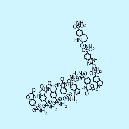 CC(=O)N1CCc2cc(S(N)(=O)=O)ccc21.CN1C(=O)COc2ccc(S(N)(=O)=O)cc21.Cn1c(=O)n(C)c2cc(S(N)(=O)=O)ccc21.Cn1ccc2cc(S(N)(=O)=O)ccc21.NS(=O)(=O)c1ccc2[nH]c(=O)[nH]c2c1.NS(=O)(=O)c1ccc2c(c1)CCC(=O)N2.NS(=O)(=O)c1ccc2c(c1)CCCC(=O)N2.NS(=O)(=O)c1ccc2c(c1)NC(=O)C2.NS(=O)(=O)c1ccc2c(c1)NC(=O)CO2